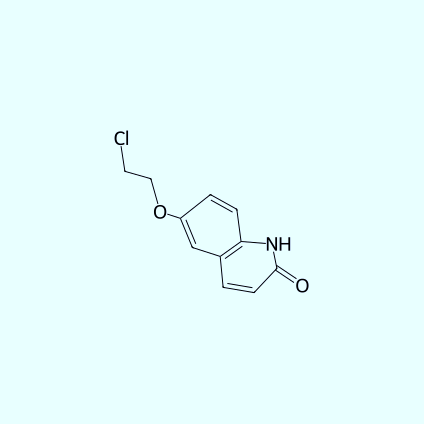 O=c1ccc2cc(OCCCl)ccc2[nH]1